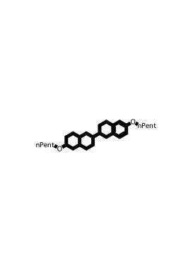 CCCCCOc1ccc2c(c1)CCC(C1CCC3CC(OCCCCC)CCC3C1)C2